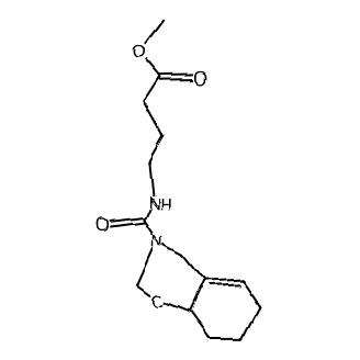 COC(=O)CCCNC(=O)N1CCC2CCCC=C2C1